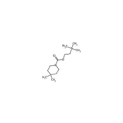 CC1(C)CCN(C(=O)OCC[Si](C)(C)C)CC1